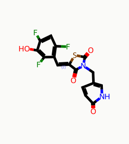 O=C1S/C(=C\c2c(F)cc(F)c(O)c2F)C(=O)N1Cc1ccc(=O)[nH]c1